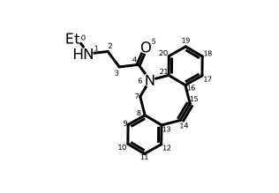 CCNCCC(=O)N1Cc2ccccc2C#Cc2ccccc21